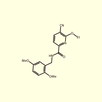 CCOc1nc(C(=O)NCc2cc(OC)ccc2OC)ccc1C#N